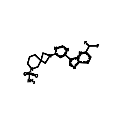 NS(=O)(=O)N1CCCC2(CN(c3cc(-c4cnc5ccc(C(F)F)nn45)ncn3)C2)C1